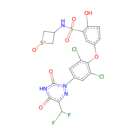 O=c1[nH]c(=O)n(-c2cc(Cl)c(Oc3ccc(O)c(S(=O)(=O)NC4C[S+]([O-])C4)c3)c(Cl)c2)nc1C(F)F